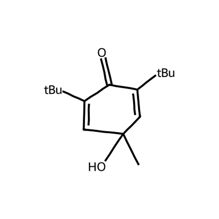 CC1(O)C=C(C(C)(C)C)C(=O)C(C(C)(C)C)=C1